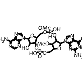 COC1C2COP(=O)(O)OC3C(CO[PH](O)(OC)OC1C(n1cnc4c(=O)[nH]c(N)nc41)O2)OC(n1cnc2c(N)ncnc21)C3O